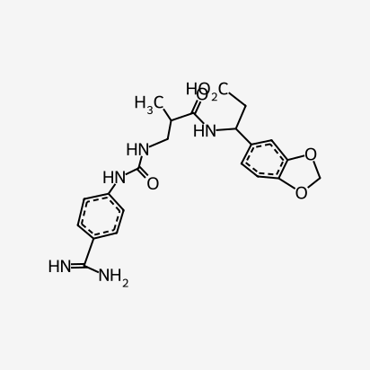 CC(CNC(=O)Nc1ccc(C(=N)N)cc1)C(=O)NC(CC(=O)O)c1ccc2c(c1)OCO2